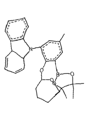 Cc1cc(B2OC(C)(C)C(C)(C)O2)c(OC2CCCCO2)c(N2c3ccccc3C3C=CC=CC32)c1